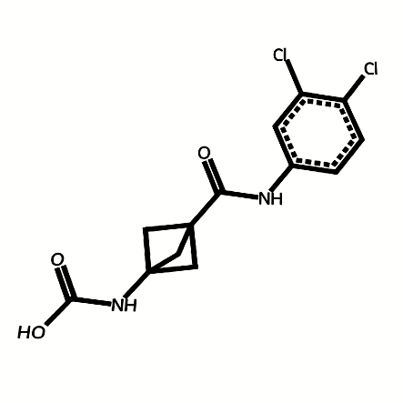 O=C(O)NC12CC(C(=O)Nc3ccc(Cl)c(Cl)c3)(C1)C2